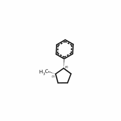 C[C@H]1CCC[C@H]1c1ccccc1